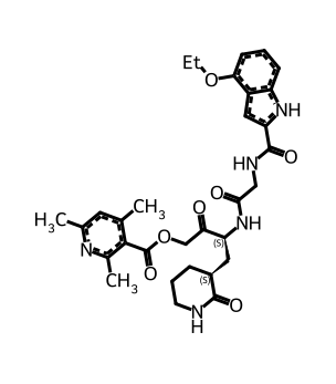 CCOc1cccc2[nH]c(C(=O)NCC(=O)N[C@@H](C[C@@H]3CCCNC3=O)C(=O)COC(=O)c3c(C)cc(C)nc3C)cc12